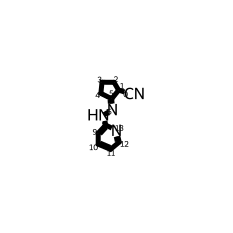 N#CC1CCCC1=NNc1ccccn1